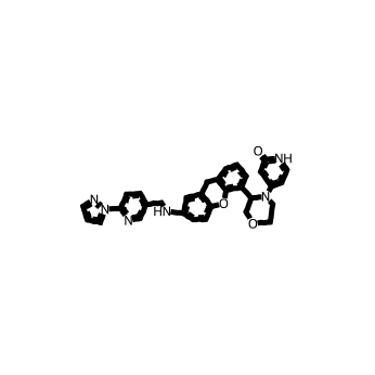 O=c1cc(N2CCOCC2c2cccc3c2Oc2ccc(NCc4ccc(-n5cccn5)nc4)cc2C3)cc[nH]1